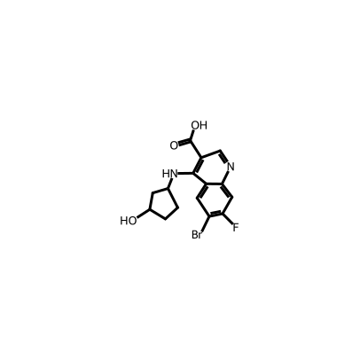 O=C(O)c1cnc2cc(F)c(Br)cc2c1NC1CCC(O)C1